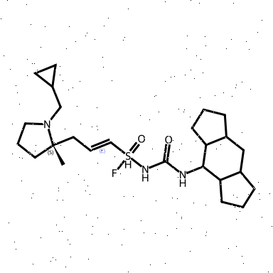 C[C@@]1(C/C=C/[SH](=O)(F)NC(=O)NC2C3CCCC3CC3CCCC32)CCCN1CC1CC1